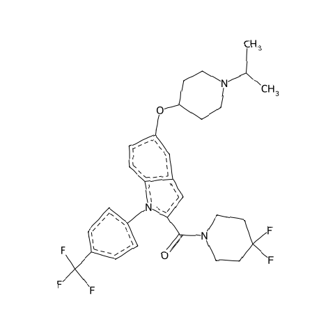 CC(C)N1CCC(Oc2ccc3c(c2)cc(C(=O)N2CCC(F)(F)CC2)n3-c2ccc(C(F)(F)F)cc2)CC1